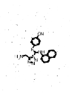 N#Cc1ccc(N=C(Nc2cccc3ccccc23)n2nnnc2CN)cc1